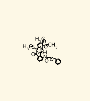 CCOc1nc(C(CSC)N2C(=O)c3cccc(NC(=O)COCc4ccccc4)c3C2=O)ccc1OC